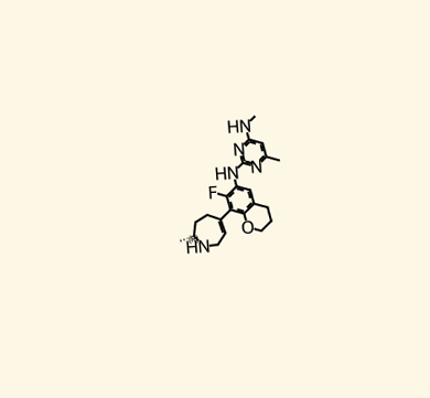 CNc1cc(C)nc(Nc2cc3c(c(C4=CCN[C@H](C)CC4)c2F)OCCC3)n1